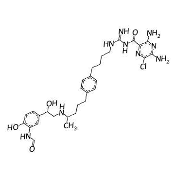 CC(CCCc1ccc(CCCCNC(=N)NC(=O)c2nc(Cl)c(N)nc2N)cc1)NCC(O)c1ccc(O)c(NC=O)c1